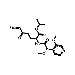 COc1cnccc1[C@H](OC)C(=O)N[C@@H](CCC(=O)C=N)C(=O)OC(C)C